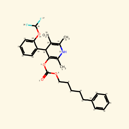 CC1=C(OC(=O)OCCCCCc2ccccc2)C(c2ccccc2OC(F)F)C([N+](=O)[O-])=C(C)N1